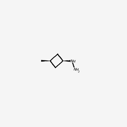 C[C@H]1C[C@@H](NN)C1